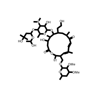 CCC1OC(=O)CC(O)C(C)C(OC2OC(C)C(OC(CC(C)(C)O)OC(C)O)C(N(C)C)C2O)C(CCO)CC(C)C(=O)/C=C/C(C)=C/C1COC1OC(C)CC(OC)C1OC